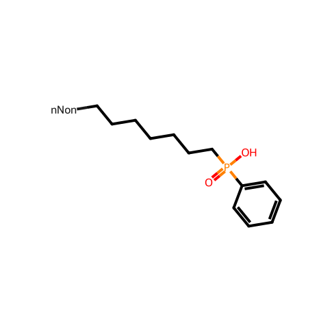 CCCCCCCCCCCCCCCCP(=O)(O)c1ccccc1